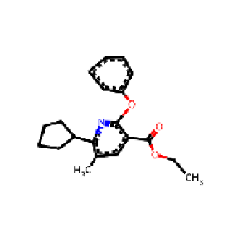 CCOC(=O)c1cc(C)c(C2CCCC2)nc1Oc1ccccc1